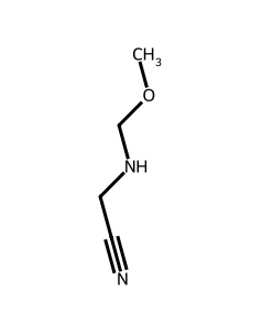 COCNCC#N